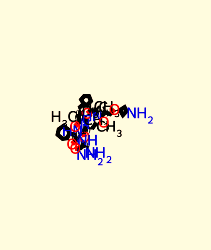 CCC[C@@H](C(=O)N[C@H](C(=O)N[C@@H](CN)C(N)=O)C1CCCCCC1)N(C)C(=O)[C@H](C)[C@@H](CC1CCCCC1)OC[C@@H](C)NC(=O)[C@@H](C)CO[C@H]1C[C@H](N)C1